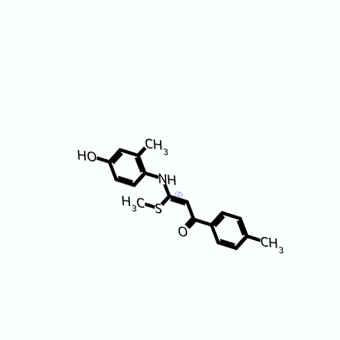 CS/C(=C\C(=O)c1ccc(C)cc1)Nc1ccc(O)cc1C